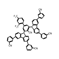 N#Cc1cccc(-c2ccc3c(c2)c2cc(-c4cccc(C#N)c4)ccc2n3-c2cc(-c3ccc(C(F)(F)F)cc3C(F)(F)F)cc(-n3c4ccc(-c5cccc(C#N)c5)cc4c4cc(-c5cccc(C#N)c5)ccc43)c2C#N)c1